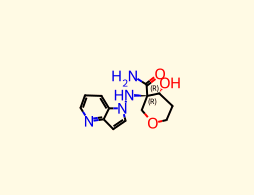 NC(=O)[C@@]1(Nn2ccc3ncccc32)COCC[C@H]1O